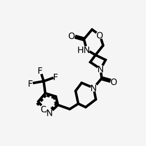 O=C1COCC2(CN(C(=O)N3CCC(Cc4cc(C(F)(F)F)ccn4)CC3)C2)N1